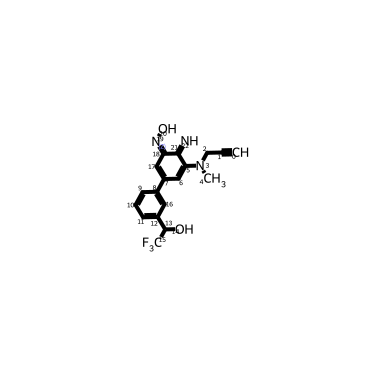 C#CCN(C)C1=CC(c2cccc(C(O)C(F)(F)F)c2)=C/C(=N/O)C1=N